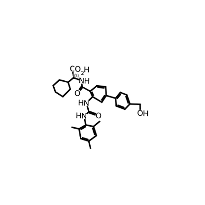 Cc1cc(C)c(NC(=O)Nc2cc(-c3ccc(CO)cc3)ccc2C(=O)N[C@H](C(=O)O)C2CCCCC2)c(C)c1